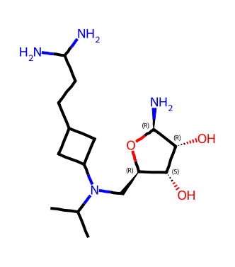 CC(C)N(C[C@H]1O[C@@H](N)[C@H](O)[C@@H]1O)C1CC(CCC(N)N)C1